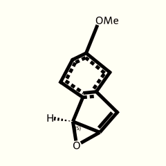 COc1ccc2c(c1)C=C1O[C@H]12